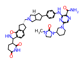 CN1CCN([C@@H]2CCCN(c3cnc(C(N)=O)c(Nc4ccc(C5CC6CN(C[C@@H]7Cc8ccc9c(c8C7)ONC9C7CCC(=O)NC7=O)C[C@H]6C5)cc4)n3)C2)C1=O